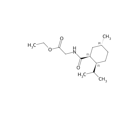 CCOC(=O)CNC(=O)[C@H]1C[C@H](C)CC[C@H]1C(C)C